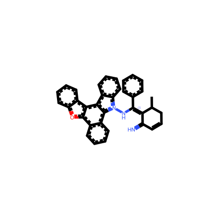 CC1CC=CC(=N)/C1=C(\Nn1c2ccccc2c2c3c4ccccc4oc3c3ccccc3c21)c1ccccc1